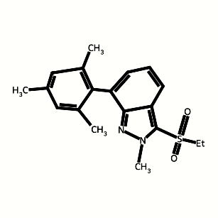 CCS(=O)(=O)c1c2cccc(-c3c(C)cc(C)cc3C)c2nn1C